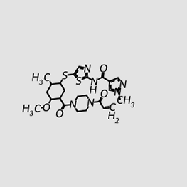 C=CC(=O)N1CCN(C(=O)C2CC(Sc3cnc(NC(=O)c4cnn(C)c4)s3)C(C)CC2OC)CC1